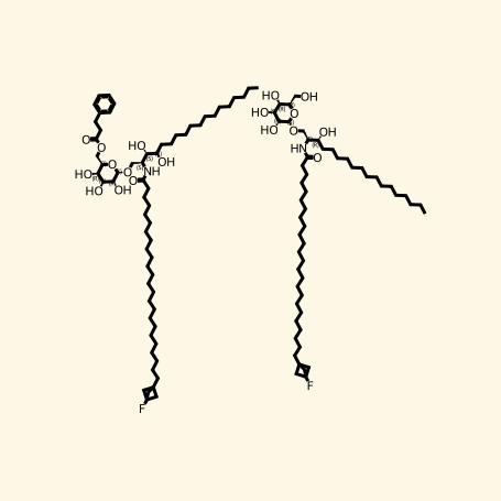 CCCCCCCCCCCCCCC[C@@H](O)[C@H](CO[C@H]1O[C@H](CO)[C@H](O)[C@H](O)[C@H]1O)NC(=O)CCCCCCCCCCCCCCCCCCCCCCCC12CC(F)(C1)C2.CCCCCCCCCCCCCC[C@@H](O)[C@@H](O)[C@H](CO[C@H]1O[C@H](COC(=O)CCc2ccccc2)[C@H](O)[C@H](O)[C@H]1O)NC(=O)CCCCCCCCCCCCCCCCCCCCCCCC12CC(F)(C1)C2